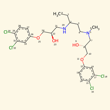 CCC(CCN(C)C[C@@H](O)COc1ccc(Cl)c(Cl)c1)NC[C@@H](O)COc1ccc(Cl)c(Cl)c1